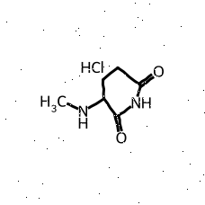 CNC1CCC(=O)NC1=O.Cl